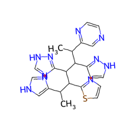 CC(c1cnccn1)C(c1cc[nH]n1)C(c1nc[nH]n1)C(c1nccs1)C(C)c1c[nH]cn1